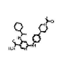 CCC(=O)N1CCC(c2ccc(Nc3cc(NC(C)C4CCCCC4)c(C(N)=O)cn3)cc2)CC1